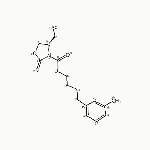 CC(=O)C[C@@H]1COC(=O)N1C(=O)CCCCCc1cccc(C)c1